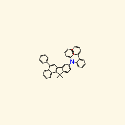 CC1(C)c2ccc(N(c3ccccc3)c3ccccc3-c3ccccc3)cc2-c2cc(-c3ccccc3)c3ccccc3c21